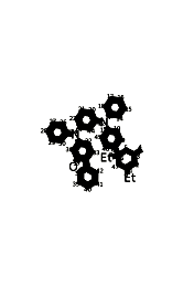 CCC1=CC(C)CC(CC)(c2ccc(N(c3ccccc3)c3cccc(N(c4ccccc4)c4ccc5c(c4)oc4ccccc45)c3)cc2)C1